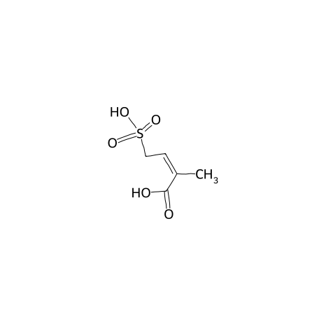 CC(=CCS(=O)(=O)O)C(=O)O